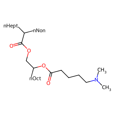 CCCCCCCCCC(CCCCCCC)C(=O)OCC(CCCCCCCC)OC(=O)CCCCN(C)C